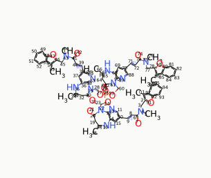 Cc1c(CN(C)C(=O)/C=C/c2cnc3c(c2)N[C@H](C)CC(=O)N3COP(=O)(OCN2C(=O)C[C@@H](C)Nc3cc(/C=C/C(=O)N(C)Cc4oc5ccccc5c4C)cnc32)OCN2C(=O)C[C@@H](C)Nc3cc(/C=C/C(=O)N(C)Cc4oc5ccccc5c4C)cnc32)oc2ccccc12